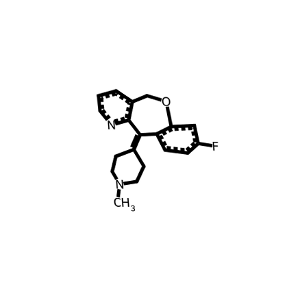 CN1CCC(=C2c3ccc(F)cc3OCc3cccnc32)CC1